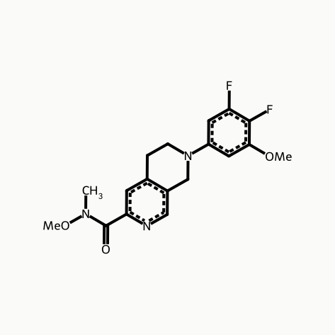 COc1cc(N2CCc3cc(C(=O)N(C)OC)ncc3C2)cc(F)c1F